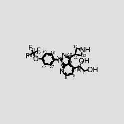 OC[C@H](O)c1ccnc2c1c(C1CNC1)nn2-c1ccc(OC(F)(F)F)cc1